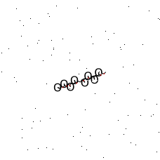 CCCCC(=O)CCC(=O)CCC(=O)CCC(=O)CCCCC(=O)CCC(=O)CCC(=O)CCC=O